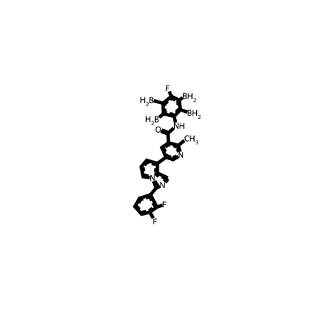 Bc1c(B)c(NC(=O)c2cc(-c3cccn4c(-c5cccc(F)c5F)ncc34)cnc2C)c(B)c(B)c1F